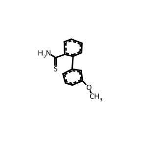 COc1cccc(-c2ccccc2C(N)=S)c1